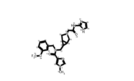 Cn1cnc(C(=O)N(Cc2cccc(OC(F)(F)F)c2)CC2C3CN(CC(=O)Nc4ncc[nH]4)CC32)c1